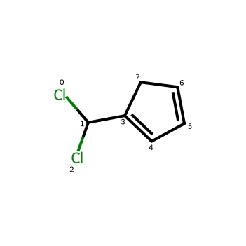 ClC(Cl)C1=CC=CC1